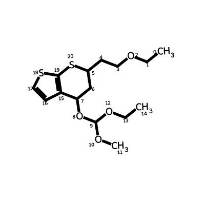 CCOCCC1CC(OC(OC)OCC)c2ccsc2S1